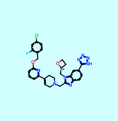 Fc1cc(Cl)ccc1COc1cccc(C2=CCN(Cc3nc4ccc(-c5nnn[nH]5)cc4n3C[C@@H]3CCO3)CC2)n1